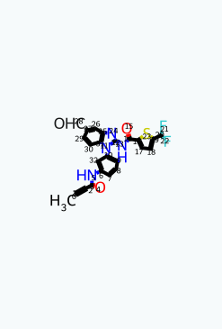 CC#CC(=O)Nc1cccc(-n2c(NC(=O)c3ccc(C(F)F)s3)nc3cc(C=O)ccc32)c1